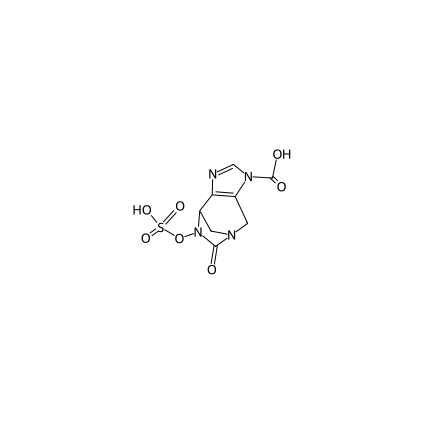 O=C1N2Cc3c(ncn3C(=O)O)C(C2)N1OS(=O)(=O)O